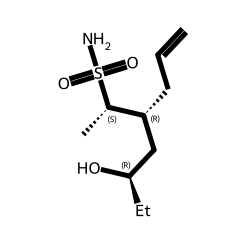 C=CC[C@H](C[C@H](O)CC)[C@H](C)S(N)(=O)=O